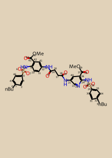 CCCCc1ccc(S(=O)(=O)Nc2ccc(NC(=O)CCC(=O)Nc3cnc(NS(=O)(=O)c4ccc(CCCC)cc4)c(C(=O)OC)c3)cc2C(=O)OC)cc1